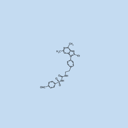 CCc1nc2c(C)nc(C)cc2n1-c1ccc(CCNC(=O)NS(=O)(=O)c2ccc(C=O)cc2)cc1